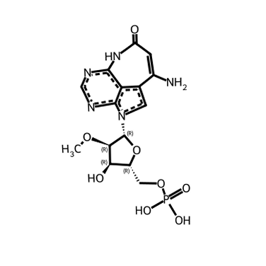 CO[C@@H]1[C@H](O)[C@@H](COP(=O)(O)O)O[C@H]1n1cc2c3c(ncnc31)NC(=O)C=C2N